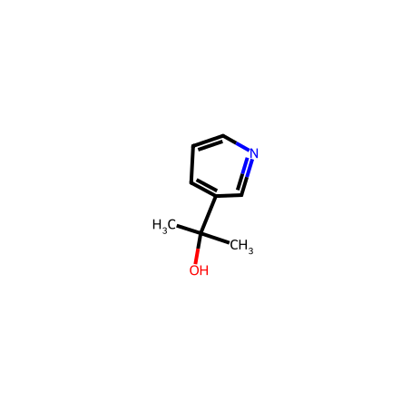 CC(C)(O)c1cccnc1